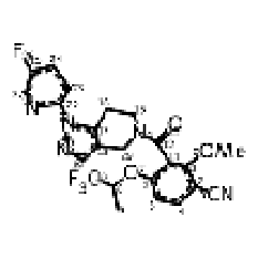 COc1c(C#N)ccc(OC(C)C(F)(F)F)c1C(=O)N1CCc2c(cnn2-c2ccc(F)cn2)C1